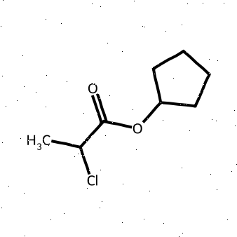 CC(Cl)C(=O)OC1CCCC1